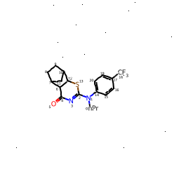 CCCN(C1=NC(=O)C2C3CCC(C3)C2S1)c1ccc(C(F)(F)F)cc1